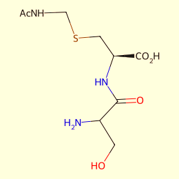 CC(=O)NCSC[C@H](NC(=O)C(N)CO)C(=O)O